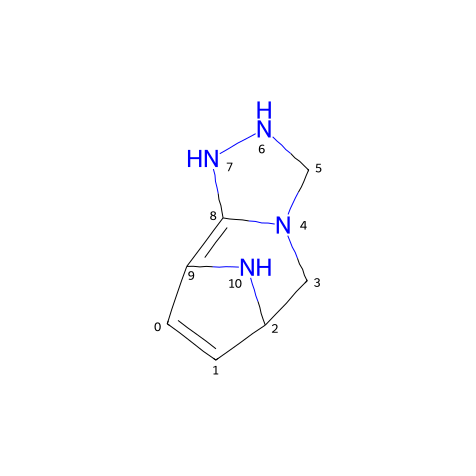 C1=CC2CN3CNNC3=C1N2